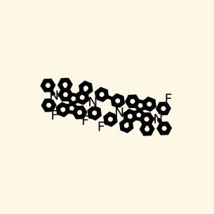 Fc1ccc(N(c2ccccc2)c2cc3c(c4ccccc24)-c2c(cc(N(c4ccc(F)cc4)c4cccc(-c5cccc(N(c6cccc(F)c6)c6cc7c(c8ccccc68)-c6c(cc(N(c8ccccc8)c8cccc(F)c8)c8ccccc68)C76c7ccccc7-c7ccccc76)c5)c4)c4ccccc24)C32c3ccccc3-c3ccccc32)cc1